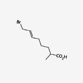 CC(CCC/C=C/CBr)C(=O)O